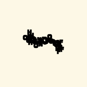 O=C1N[C@@H]2CCN(C(=O)c3nc4n(n3)CCN(C(=O)OCc3ccc(OC(F)(F)F)c(F)c3)CC4)C[C@H]2O1